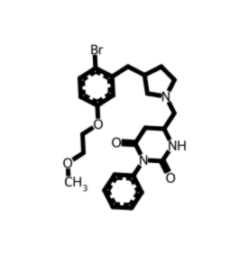 COCCOc1ccc(Br)c(CC2CCN(CC3CC(=O)N(c4ccccc4)C(=O)N3)C2)c1